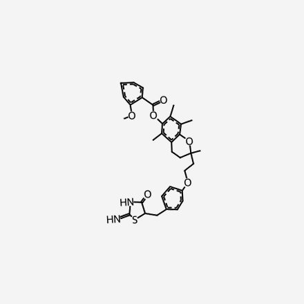 COc1ccccc1C(=O)Oc1c(C)c(C)c2c(c1C)CCC(C)(CCOc1ccc(CC3SC(=N)NC3=O)cc1)O2